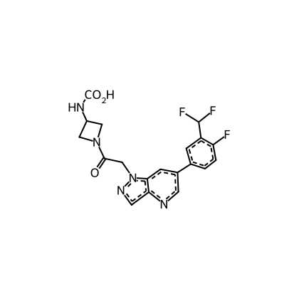 O=C(O)NC1CN(C(=O)Cn2ncc3ncc(-c4ccc(F)c(C(F)F)c4)cc32)C1